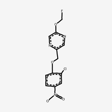 O=[N+]([O-])c1ccc(OCc2cnc(OCF)cn2)c(Cl)c1